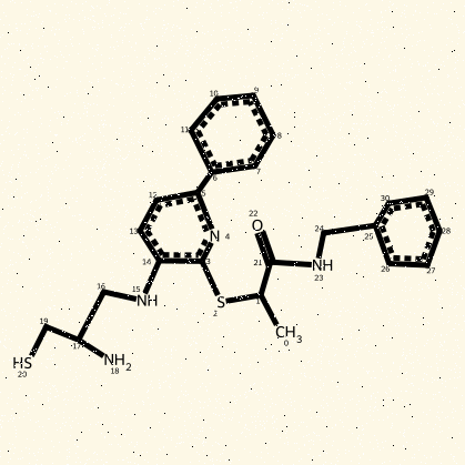 CC(Sc1nc(-c2ccccc2)ccc1NCC(N)CS)C(=O)NCc1ccccc1